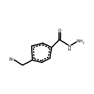 NNC(=O)c1ccc(CBr)cc1